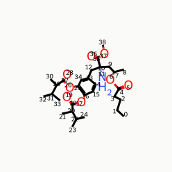 CCCCC(=O)OC(C)C[C@@](N)(Cc1ccc(OC(=O)C(C)C(C)C)c(OC(=O)C(C)C(C)C)c1)C(=O)OC